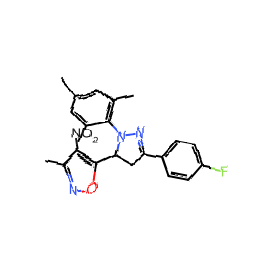 Cc1cc(C)c(N2N=C(c3ccc(F)cc3)CC2c2onc(C)c2[N+](=O)[O-])c(C)c1